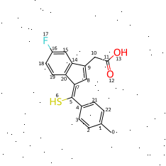 Cc1ccc(C(S)=C2C=C(CC(=O)O)c3cc(F)ccc32)cc1